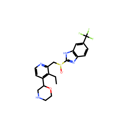 CCc1c(C2CNCCO2)ccnc1C[S+]([O-])c1nc2ccc(C(F)(F)F)cc2[nH]1